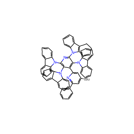 CC(C)(C)c1cc(-c2ccccc2)nc(-c2c(-n3c4ccccc4c4ccccc43)c(-n3c4c(c5ccccc53)CCC=C4)nc(-n3c4ccccc4c4ccccc43)c2-n2c3ccccc3c3ccccc32)c1